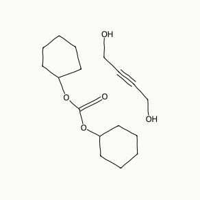 O=C(OC1CCCCC1)OC1CCCCC1.OCC#CCO